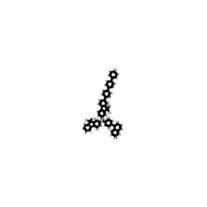 CC1(C)c2ccccc2-c2ccc(N(c3ccc(-c4cccc5ccccc45)cc3)c3ccc4c(c3)C(C)(C)c3cc(-c5ccc(-c6ccc(-c7ccccc7)cc6)cc5)ccc3-4)cc21